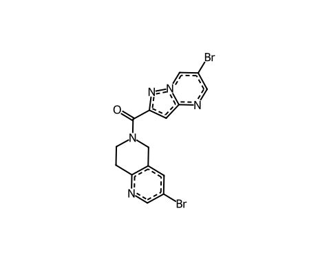 O=C(c1cc2ncc(Br)cn2n1)N1CCc2ncc(Br)cc2C1